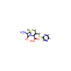 NC1C(=O)N2C(C(=O)O)=C(CSc3cnccn3)CS[C@H]12